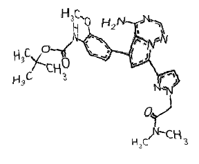 COc1cc(-c2cc(-c3ccn(CC(=O)N(C)C)n3)n3ncnc(N)c23)ccc1NC(=O)OC(C)(C)C